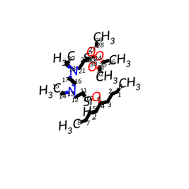 CCCCC(CCCC)O[SiH2]CCN(CC)CCN(CC)CC[Si](OCC)(OCC)OCC